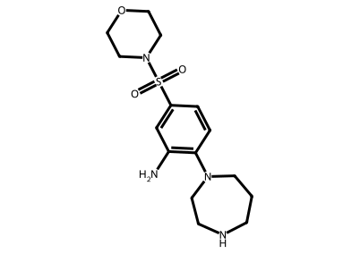 Nc1cc(S(=O)(=O)N2CCOCC2)ccc1N1CCCNCC1